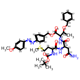 COc1ccc(/N=N/c2ccc(COC(=O)C(NC(=O)C(CC(N)=O)NC(=O)C(CCSC)NC(=O)OC(C)(C)C)C(C)OCc3ccccc3)cc2)cc1